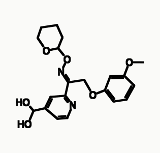 COc1cccc(OC/C(=N\OC2CCCCO2)c2cc(C(O)O)ccn2)c1